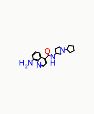 Nc1cccc2c(C(=O)NC3CCN(C4CCCC4)C3)ccnc12